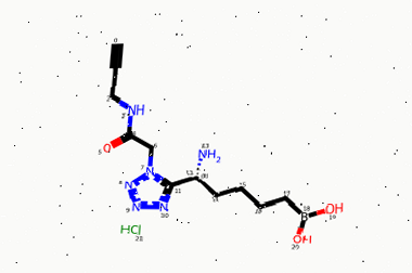 C#CCNC(=O)Cn1nnnc1[C@H](N)CCCCB(O)O.Cl